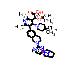 Cc1nc(C)c([C@H](OC(C)(C)C)C(=O)O)c(N2CCC(C)(C)CC2)c1-c1ccc2c(c1)CCN(c1nccc(N3C4CCC3CN(C)C4)n1)C2